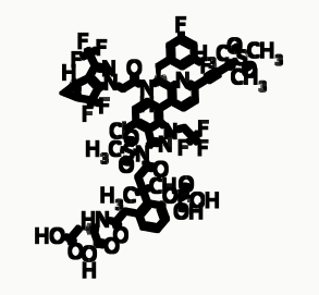 CC(C)(CC(=O)N(c1nn(CC(F)(F)F)c2c(-c3ccc(C#CC(C)(C)S(C)(=O)=O)nc3[C@H](Cc3cc(F)cc(F)c3)NC(=O)Cn3nc(C(F)(F)F)c4c3C(F)(F)C3C[C@H]43)ccc(Cl)c12)S(C)(=O)=O)c1c(CC(=O)N[C@@H](CC(=O)O)C(=O)O)cccc1OP(=O)(O)O